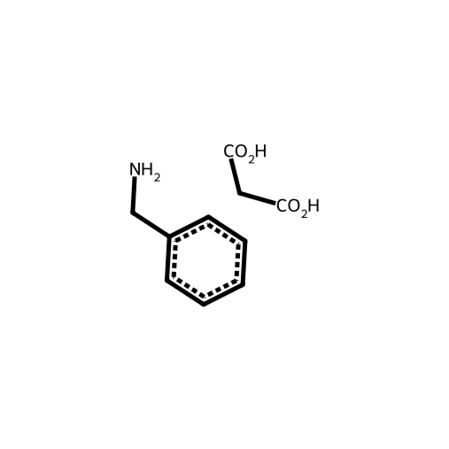 NCc1ccccc1.O=C(O)CC(=O)O